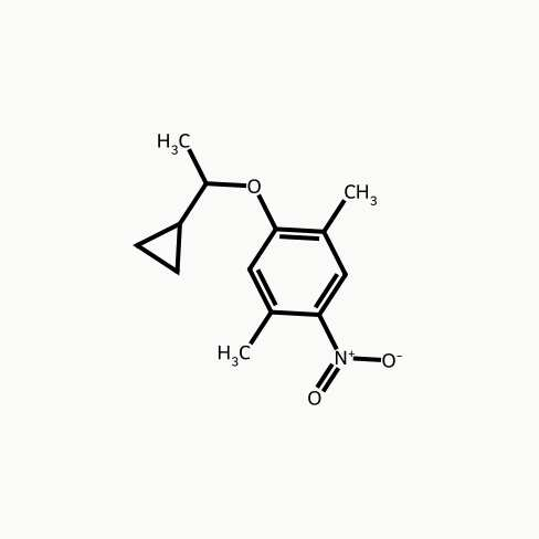 Cc1cc([N+](=O)[O-])c(C)cc1OC(C)C1CC1